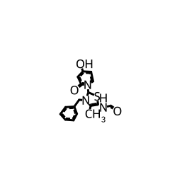 CC1=C(NC=O)SC(n2ccc(O)cc2=O)N1Cc1ccccc1